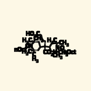 CCCCCCCCON1C(C)(C)CC(C(CCCC(=O)O)(C(=O)O)C2CC(C)(C)N(OCCCCCCCC)C(C)(C)C2)CC1(C)C